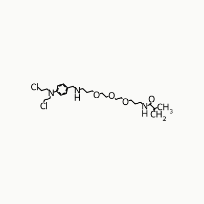 C=C(C)C(=O)NCCCOCCOCCOCCCNCc1ccc(N(CCCl)CCCl)cc1